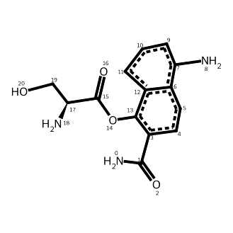 NC(=O)c1ccc2c(N)cccc2c1OC(=O)[C@@H](N)CO